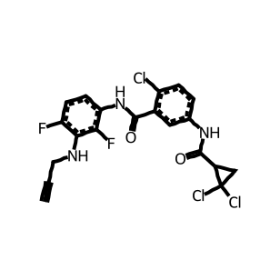 C#CCNc1c(F)ccc(NC(=O)c2cc(NC(=O)C3CC3(Cl)Cl)ccc2Cl)c1F